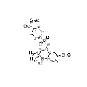 CCN1c2ccc(C=O)cc2C(CS(=O)(=O)N2CCC(C(=O)OC)CC2)=CC1(C)C